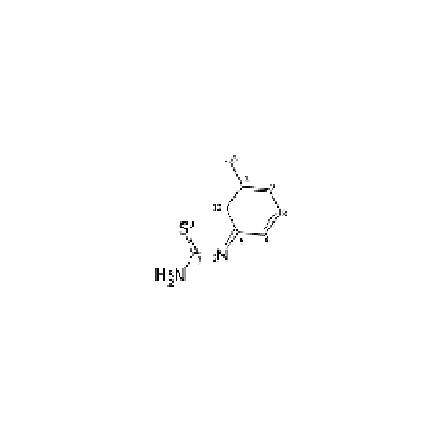 [CH2]C1=CC=CC(=NC(N)=S)C1